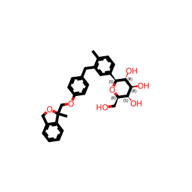 Cc1ccc([C@@H]2O[C@H](CO)[C@@H](O)[C@H](O)[C@H]2O)cc1Cc1ccc(OCC2(C)OCc3ccccc32)cc1